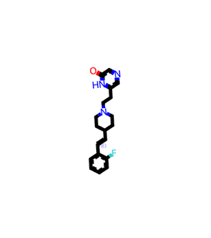 O=c1cncc(CCN2CCC(/C=C/c3ccccc3F)CC2)[nH]1